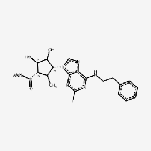 CNC(=O)[C@H]1C(C)[C@@H](n2cnc3c(NCCc4ccccc4)nc(I)nc32)C(O)[C@@H]1O